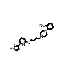 N#Cc1ccccc1N1CCN(CCCCOc2cccc(-c3cc[nH]n3)n2)CC1